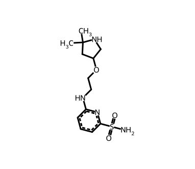 CC1(C)CC(OCCNc2cccc(S(N)(=O)=O)n2)CN1